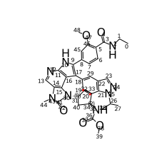 CCNC(=O)c1ccc(-c2[nH]c3ncc4c(c3c2-c2ccc3c(cnn3C(C)C)c2)n([C@@H]2CC[C@@H](NC(=O)OC)C2)c(=O)n4C)cc1OC